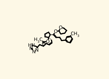 CC(=O)O[C@@]1(C/C=C\CCCc2nnn[nH]2)CCC[C@H]1C(=CCCc1cccc(C)c1)OC1CCCCO1